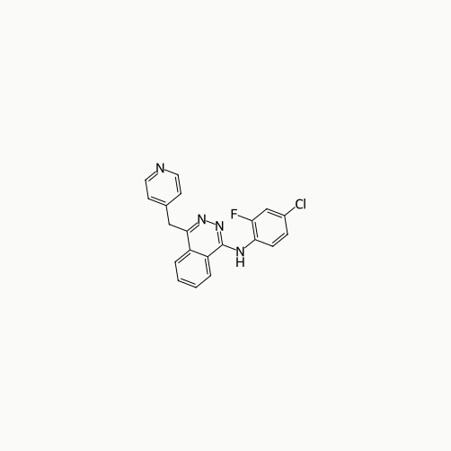 Fc1cc(Cl)ccc1Nc1nnc(Cc2ccncc2)c2ccccc12